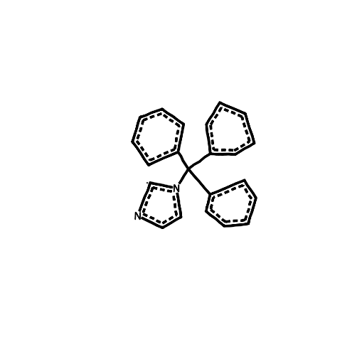 [c]1nccn1C(c1ccccc1)(c1ccccc1)c1ccccc1